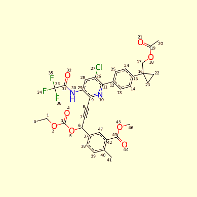 CCOC(=O)OC(C#Cc1nc(-c2ccc(C3(COC(C)=O)CC3)cc2)c(Cl)cc1NC(=O)C(F)(F)F)c1ccc(C)c(C(=O)OC)c1